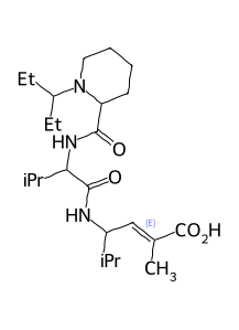 CCC(CC)N1CCCCC1C(=O)NC(C(=O)NC(/C=C(\C)C(=O)O)C(C)C)C(C)C